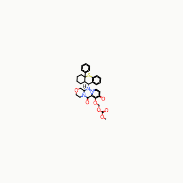 COC(=O)OCOc1c2n(ccc1=O)N([C@H]1c3ccccc3SC3(c4ccccc4)CCCCC13)[C@@H]1COCCN1C2=O